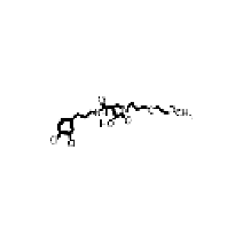 COCCOCCCN1CC(C(=O)NCCCc2ccc(Cl)c(Cl)c2)=C(O)C1=O